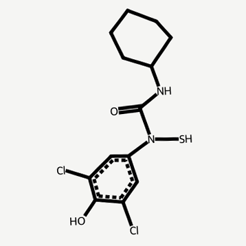 O=C(NC1CCCCC1)N(S)c1cc(Cl)c(O)c(Cl)c1